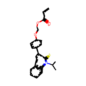 C=CC(=O)OCOc1ccc(-c2cc3ccccc3n(C(C)C)c2=S)cc1